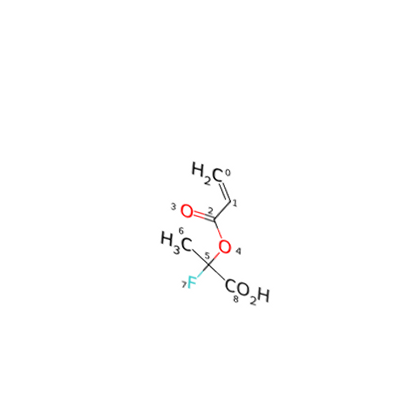 C=CC(=O)OC(C)(F)C(=O)O